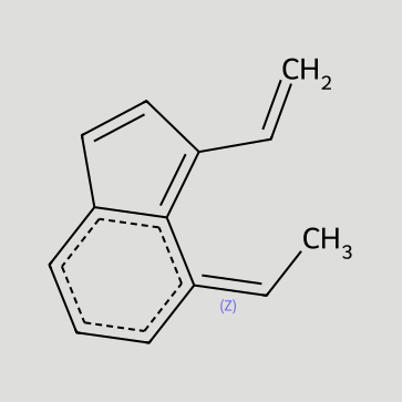 C=CC1=c2c(ccc/c2=C/C)C=C1